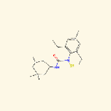 CCc1cc(C)cc(CC)c1N(S)C(=O)NC1CC(C)CC(C)(C)C1